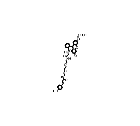 O=C(O)COc1ccc2c(-c3ccccc3C(=O)NCC(=O)NCCOCCOCCNC(=O)/C=C/c3ccc(O)cc3)c3ccc(=O)cc-3oc2c1